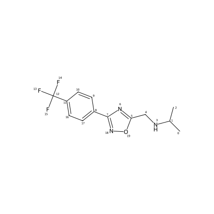 CC(C)NCc1nc(-c2ccc(C(F)(F)F)cc2)no1